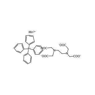 O=C([O-])CN(CCN(CC(=O)[O-])CC(=O)[O-])CC(=O)[O-].[Mn+3].c1ccc([P+](c2ccccc2)(c2ccccc2)c2ccccc2)cc1